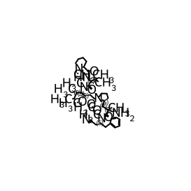 CC[C@H](C)[C@@H]([C@@H](CC(=O)N1CCC[C@H]1[C@H](OC)[C@@H](C)C(=O)N(C)[C@H](CC#N)Cc1cccc(N)c1)OC)N(C)C(=O)[C@@H](NC(=O)C1CCCCN1C)C(C)C